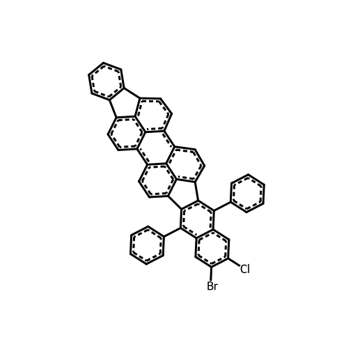 Clc1cc2c(-c3ccccc3)c3c(c(-c4ccccc4)c2cc1Br)-c1ccc2c4ccc5c6c(ccc(c7ccc-3c1c72)c64)-c1ccccc1-5